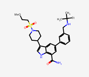 CCC(C)(C)NCc1cccc(-c2cc(C(N)=O)c3[nH]cc(C4CCN(S(=O)(=O)CCOC)CC4)c3c2)c1